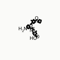 Cc1cc(C(=O)N2CCCCC2)ccc1COc1ccc(N)cc1-c1csc(N2CCC(C(=O)O)CC2C)n1